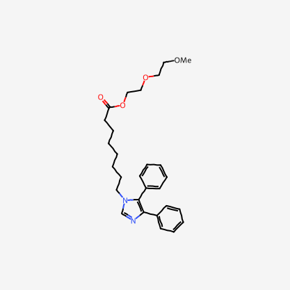 COCCOCCOC(=O)CCCCCCCn1cnc(-c2ccccc2)c1-c1ccccc1